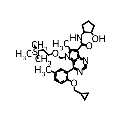 Cc1ccc(OCC2CC2)c(-c2ncnc3c(C(=O)NC4CCCC4O)c(C)n(COCC[Si](C)(C)C)c23)c1